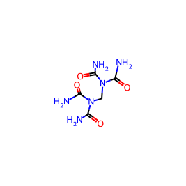 NC(=O)N(CN(C(N)=O)C(N)=O)C(N)=O